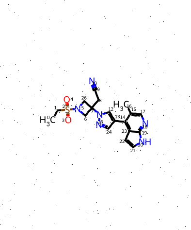 CCS(=O)(=O)N1CC(CC#N)(n2cc(-c3c(C)cnc4[nH]ccc34)cn2)C1